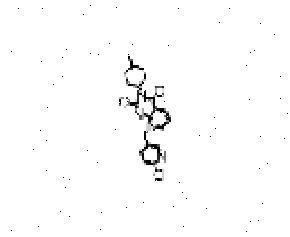 CC1CCC(n2c(=O)nc3n(Cc4ccc(Cl)nc4)cccc-3c2=O)CC1